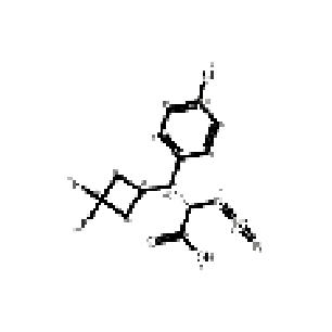 [N-]=[N+]=NC(C(=O)O)[C@@H](c1ccc(Cl)cc1)C1CC(F)(F)C1